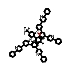 Fc1c(F)c(F)c(-c2c(-n3c4ccc(-c5ccc(-c6ccccc6)nc5)cc4c4cc(-c5ccc(-c6ccccc6)nc5)ccc43)cc(C(F)(F)F)cc2-n2c3ccc(-c4ccc(-c5ccccc5)nc4)cc3c3cc(-c4ccc(-c5ccccc5)nc4)ccc32)c(F)c1F